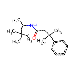 CC(NC(=O)CC(C)(C)c1ccccc1)C(C)(C)C